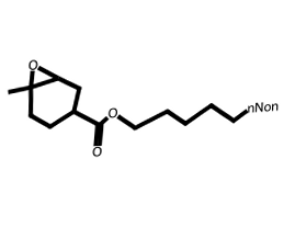 CCCCCCCCCCCCCCOC(=O)C1CCC2(C)OC2C1